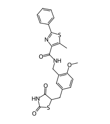 COc1ccc(CC2SC(=O)NC2=O)cc1CNC(=O)c1nc(-c2ccccc2)sc1C